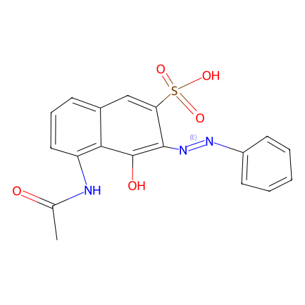 CC(=O)Nc1cccc2cc(S(=O)(=O)O)c(/N=N/c3ccccc3)c(O)c12